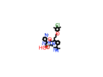 Cc1cc(OCCCc2c3n(c4c(-c5c(C)nn(C)c5C)cccc24)C(C)[C@@H](Cl)N(c2c(C(=O)O)n(C)c4ccc(N(C)C)cc24)C3=O)cc(C)c1Cl